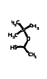 CC(S)O[Si](C)(C)C